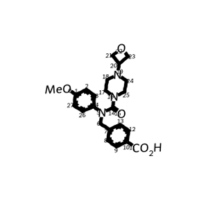 COc1ccc(N(Cc2ccc(C(=O)O)cc2)C(=O)N2CCN(C3COC3)CC2)cc1